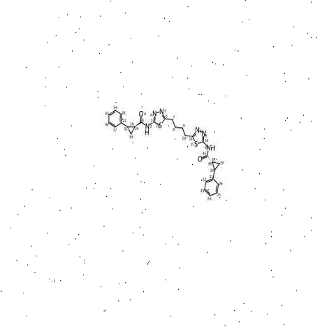 O=C(Nc1nnc(CCCCc2nnc(NC(=O)[C@@H]3CC3c3ccccc3)s2)s1)[C@H]1CC1c1ccccc1